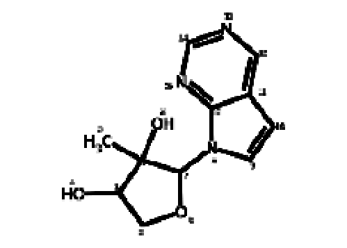 CC1(O)C(O)COC1n1ccc2cncnc21